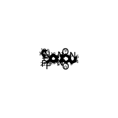 O=C1c2cccnc2C(=O)c2nc3cc(N4CCCC4)c(C(F)(F)F)cc3nc21